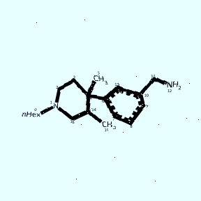 CCCCCCN1CCC(C)(c2cccc(CN)c2)C(C)C1